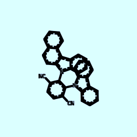 N#Cc1ccc(C#N)c(-n2c3ccccc3c3c4ccccc4ccc32)c1-n1c2ccccc2c2ccccc21